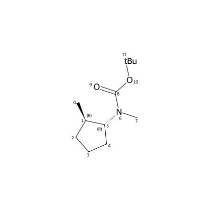 C[C@@H]1CCC[C@H]1N(C)C(=O)OC(C)(C)C